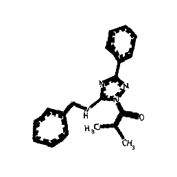 CC(C)C(=O)n1nc(-c2ccccc2)nc1NCc1ccccc1